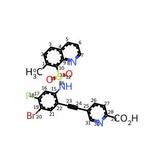 Cc1ccc2cccnc2c1S(=O)(=O)Nc1cc(F)c(Br)cc1C#Cc1ccc(C(=O)O)nc1